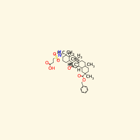 CC1(C)[C@@H](NS(=O)(=O)CCC(=O)O)CC[C@]2(C)[C@H]3C(=O)C=C4[C@@H]5C[C@@](C)(C(=O)OCc6ccccc6)CC[C@]5(C)CC[C@@]4(C)[C@]3(C)CC[C@@H]12